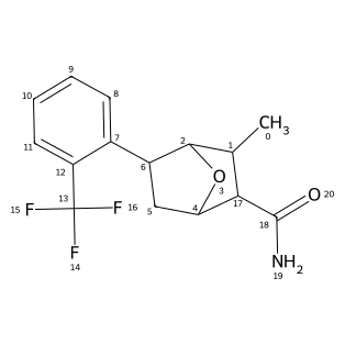 CC1C2OC(CC2c2ccccc2C(F)(F)F)C1C(N)=O